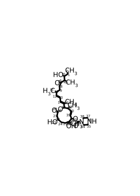 CCC(O)C(C)C1OC1CC(C)/C=C/C=C(\C)C1OC(=O)CC(O)CCC(C)(O)C(OC(=O)N2CCNCC2)/C=C/C1C